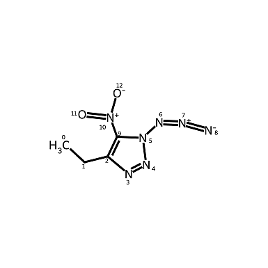 CCc1nnn(N=[N+]=[N-])c1[N+](=O)[O-]